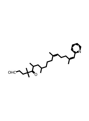 CC(=Cc1ccccn1)CCC=C(C)CCCC(C)CC(C)C(=O)C(C)(C)CCC=O